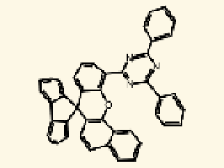 c1ccc(-c2nc(-c3ccccc3)nc(-c3cccc4c3Oc3c(ccc5ccccc35)C43c4ccccc4-c4ccccc43)n2)cc1